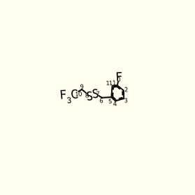 Fc1cccc(CSSCC(F)(F)F)c1